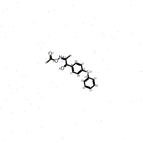 CC(=O)O/N=C(/C)C(=O)c1ccc(Sc2ccccc2)cc1